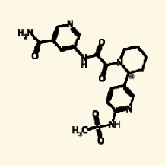 CS(=O)(=O)Nc1ccc([C@@H]2CCCCN2C(=O)C(=O)Nc2cncc(C(N)=O)c2)cn1